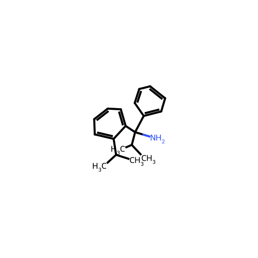 CC(C)c1ccccc1C(N)(c1ccccc1)C(C)C